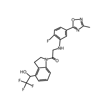 Cc1noc(-c2ccc(F)c(NCC(=O)N3CCc4c(C(O)C(F)(F)F)cccc43)c2)n1